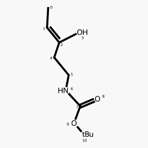 CC=C(O)CCNC(=O)OC(C)(C)C